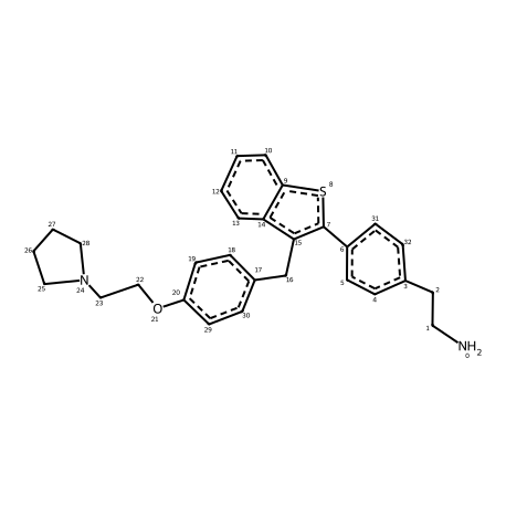 NCCc1ccc(-c2sc3ccccc3c2Cc2ccc(OCCN3CCCC3)cc2)cc1